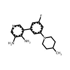 CC1CCN(c2cc(F)cc(-c3cncc(N)c3N)c2)CC1